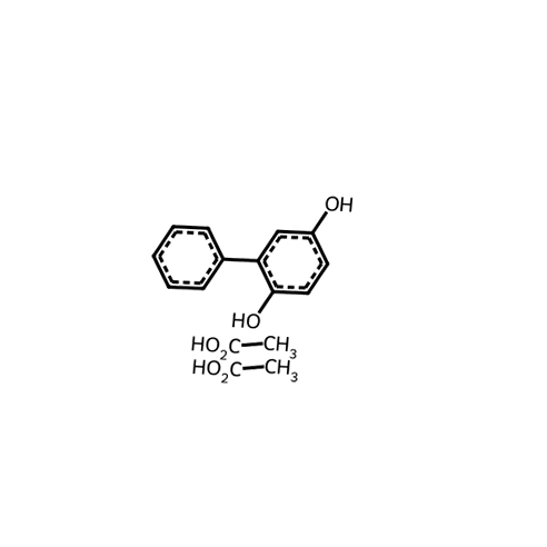 CC(=O)O.CC(=O)O.Oc1ccc(O)c(-c2ccccc2)c1